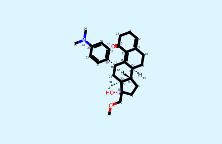 COC[C@]1(O)CC[C@H]2[C@@H]3CCC4=CCCC(=O)C4=C3[C@@H](c3ccc(N(C)C)cc3)C[C@@]21C